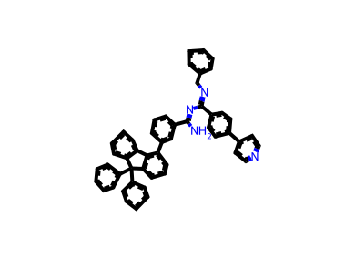 N/C(=N\C(=N/Cc1ccccc1)c1ccc(-c2ccncc2)cc1)c1cccc(-c2cccc3c2-c2ccccc2C3(c2ccccc2)c2ccccc2)c1